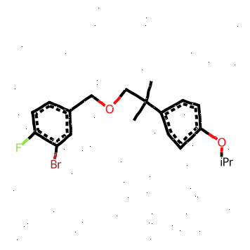 CC(C)Oc1ccc(C(C)(C)COCc2ccc(F)c(Br)c2)cc1